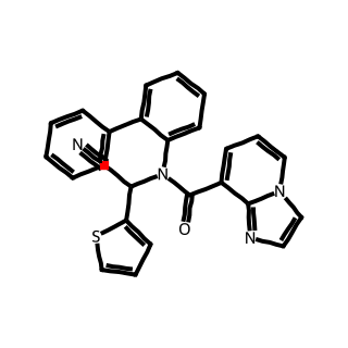 N#CC(c1cccs1)N(C(=O)c1cccn2ccnc12)c1ccccc1-c1ccccc1